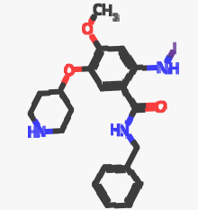 COc1cc(NI)c(C(=O)NCc2ccccc2)cc1OC1CCNCC1